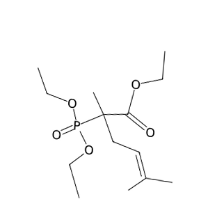 CCOC(=O)C(C)(CC=C(C)C)P(=O)(OCC)OCC